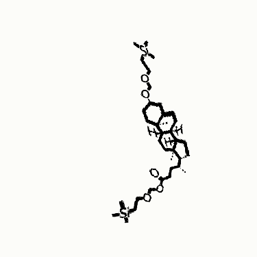 C[C@H](CCC(=O)OCOCC[Si](C)(C)C)[C@H]1CC[C@H]2[C@@H]3CC=C4C[C@@H](OCOCC[Si](C)(C)C)CC[C@]4(C)[C@H]3CC[C@]12C